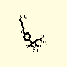 CCC=CCOc1ccc(C2=C(CC(C)C)C(=O)N(O)C2=O)cc1